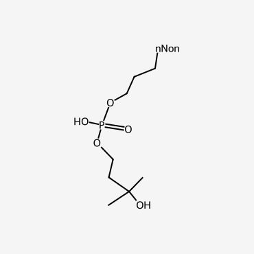 CCCCCCCCCCCCOP(=O)(O)OCCC(C)(C)O